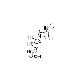 O=P(O)(O)COC[C@H]1O[C@@H](n2cnc3c(NC4CCCC4)cc(Cl)nc32)[C@H](O)[C@@H]1O